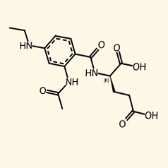 CCNc1ccc(C(=O)N[C@H](CCC(=O)O)C(=O)O)c(NC(C)=O)c1